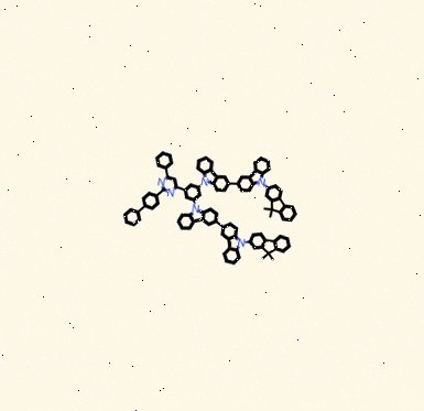 CC1(C)c2ccccc2-c2ccc(-n3c4ccccc4c4cc(-c5ccc6c(c5)c5ccccc5n6-c5cc(-c6cc(-c7ccccc7)nc(-c7ccc(-c8ccccc8)cc7)n6)cc(-n6c7ccccc7c7cc(-c8ccc9c(c8)c8ccccc8n9-c8ccc9c(c8)C(C)(C)c8ccccc8-9)ccc76)c5)ccc43)cc21